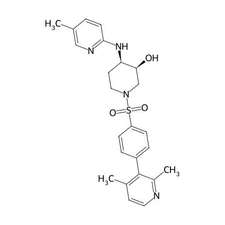 Cc1ccc(N[C@@H]2CCN(S(=O)(=O)c3ccc(-c4c(C)ccnc4C)cc3)C[C@@H]2O)nc1